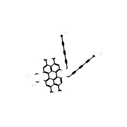 C#CC#CC#CC#CCOc1cc2c3c(cc(OCC)c4c5c(OCC)cc6c7c(cc(OCC#CC#CC#CC#C)c(c1c34)c75)C(=O)OC6=O)C(=O)OC2=O